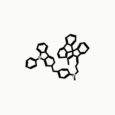 C/C=C1\C(=C/CCN(C)c2ccc(CC3C=c4c(c5ccccc5n4-c4ccccc4)=CC3)cc2)c2ccccc2C12c1ccccc1-c1ccccc12